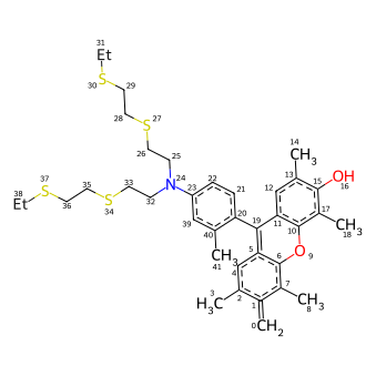 C=c1c(C)cc2c(c1C)Oc1c(cc(C)c(O)c1C)C=2c1ccc(N(CCSCCSCC)CCSCCSCC)cc1C